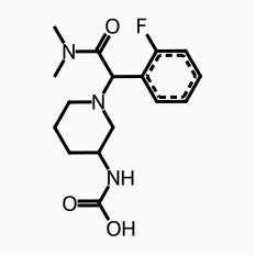 CN(C)C(=O)C(c1ccccc1F)N1CCCC(NC(=O)O)C1